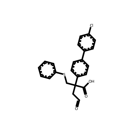 O=CCC(CSc1ccccc1)(C(=O)O)c1ccc(-c2ccc(Cl)cc2)cc1